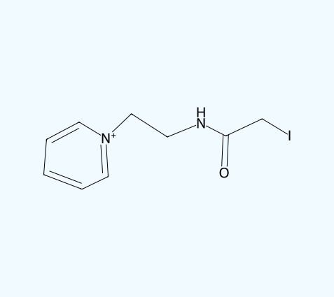 O=C(CI)NCC[n+]1ccccc1